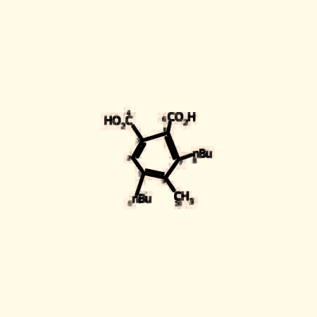 CCCCc1cc(C(=O)O)c(C(=O)O)c(CCCC)c1C